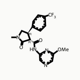 COc1cncc(NC(=O)[C@@H]2C(=O)N(C)C[C@H]2c2ccc(C(F)(F)F)cc2)n1